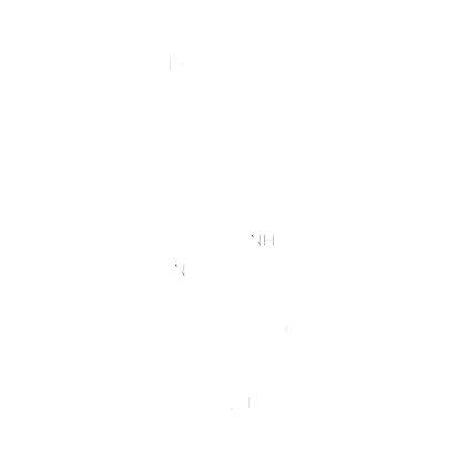 Cc1ccc(Nc2nccc(O)c2C)cc1